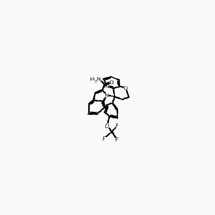 NC(=O)c1cc2ccccc2n1C1(c2ccc(OC(F)(F)F)cc2)CCOc2cccnc21